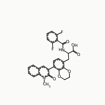 Cn1c(=O)c(-c2ccc(CC(NC(=O)c3c(F)cccc3F)C(=O)O)c3c2OCCO3)cc2ccccc21